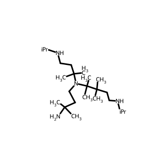 CC(C)NCCC(C)(C)N(CCC(C)(C)N)C(C)(C)C(C)(C)CCNC(C)C